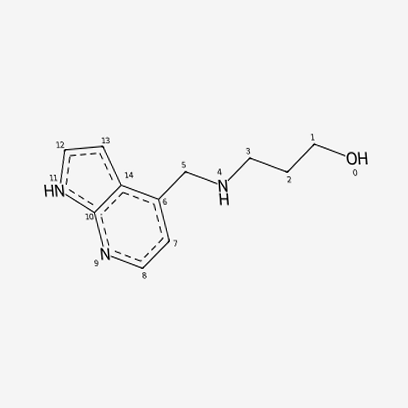 OCCCNCc1ccnc2[nH]ccc12